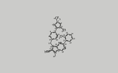 CCn1cc(C(F)(F)F)nc1-c1ccc(Cn2c(=N)n(C)c3cnc(-c4ccccc4C(F)(F)F)nc32)cc1